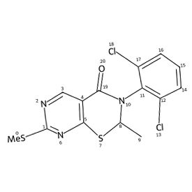 CSc1ncc2c(n1)SC(C)N(c1c(Cl)cccc1Cl)C2=O